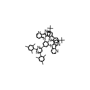 Cc1cc(C)c(-c2cc(-c3cc(-n4c5cccnc5c5ncccc54)c(-n4c5ccc(C(C)(C)C)cc5c5cc(C(C)(C)C)ccc54)c(-n4c5cccnc5c5ncccc54)c3)nc(-c3c(C)cc(C)cc3C)n2)c(C)c1